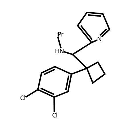 CC(C)NC(c1ccccn1)C1(c2ccc(Cl)c(Cl)c2)CCC1